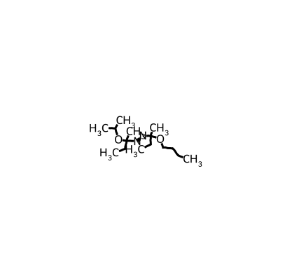 CCCCOC(C)(CC)N=NC(C)(CC)OC(C)C